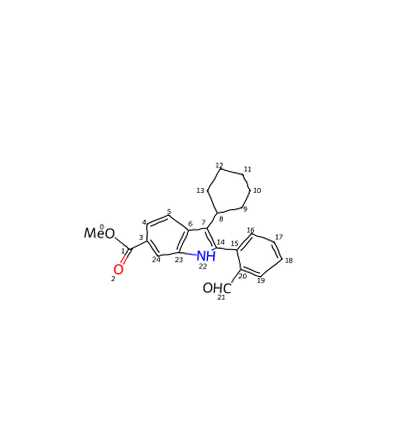 COC(=O)c1ccc2c(C3CCCCC3)c(-c3ccccc3C=O)[nH]c2c1